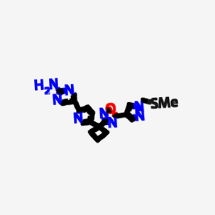 CSCn1cc(-c2nc(C3(c4ccc(-c5cnc(N)nc5)nc4)CCC3)no2)cn1